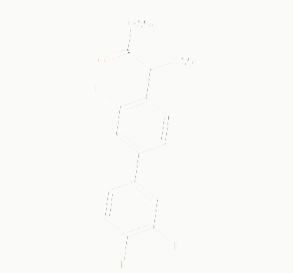 COC(=O)C(SC)c1ccc(-c2ccc(F)c(F)c2)cc1F